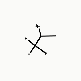 [2H]C(C)C(F)(F)F